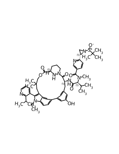 CCn1c(-c2cccnc2C(C)C)c2c3cc(ccc31)-c1cc(O)cc(c1)C[C@H](NC(=O)[C@H](C(C)C)N(C)C(=O)c1ccc([C@@H]3CN3[S@@+]([O-])C(C)(C)C)nc1)C(=O)N1CCC[C@H](N1)C(=O)OCC(C)(C)C2